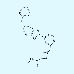 COC(=O)C1CN(Cc2cccc(-c3cc4cc(Cc5ccccc5)ccc4o3)c2)C1